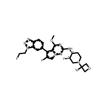 [2H]C1(N2CC[C@H](Nc3nc(OC)c4c(-c5ccc6nnn(CCF)c6c5)c(F)cn4n3)[C@H](F)C2)COC1